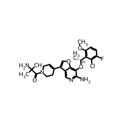 COc1ccc(F)c(Cl)c1[C@@H](C)Oc1c(N)ncc2c(C3=CCN(C(=O)C(C)(C)N)CC3)coc12